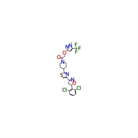 Cn1nc(OCC(=O)N2CCC(c3nc(C4=NOC(c5c(Cl)cccc5Cl)C4)cs3)CC2)cc1C(F)(F)F